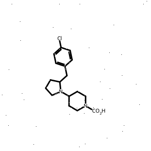 O=C(O)N1CCC(N2CCCC2Cc2ccc(Cl)cc2)CC1